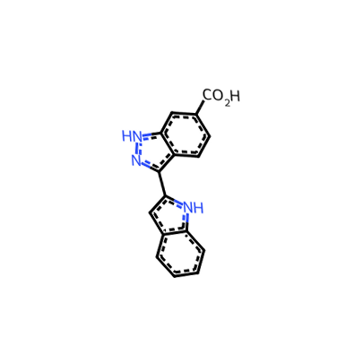 O=C(O)c1ccc2c(-c3cc4ccccc4[nH]3)n[nH]c2c1